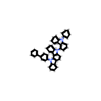 c1ccc(-c2ccc(-n3c4ccccc4c4ccc5c(c6ccccc6n5-c5cccc6c5c5ccccc5n6-c5ccccc5)c43)cc2)cc1